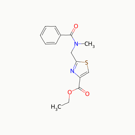 CCOC(=O)c1csc(CN(C)C(=O)c2ccccc2)n1